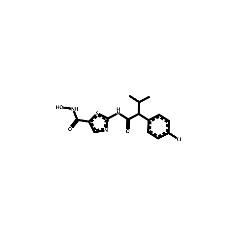 CC(C)C(C(=O)Nc1ncc(C(=O)NO)s1)c1ccc(Cl)cc1